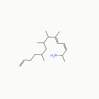 C=CCCC(C)CC(C)C(C)/C(C)=C/C=C\C(C)N